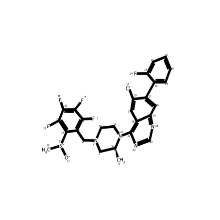 C[C@H]1CN(Cc2c(F)c(F)c(F)c(F)c2[S+](C)[O-])CCN1c1ncnc2cc(-c3ccccc3F)c(Cl)cc12